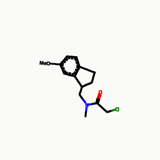 COc1ccc2c(c1)C(CN(C)C(=O)CCl)CC2